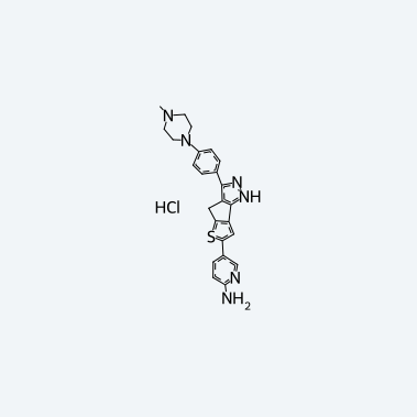 CN1CCN(c2ccc(-c3n[nH]c4c3Cc3sc(-c5ccc(N)nc5)cc3-4)cc2)CC1.Cl